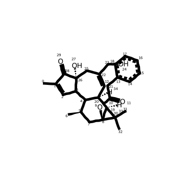 CC1=CC2C3[C@H](C)C[C@]4(OC(=O)Cc5ccccc5)[C@@H]([C@@H]3C=C(CO)C[C@]2(O)C1=O)C4(C)C